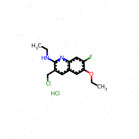 CCNc1nc2cc(F)c(OCC)cc2cc1CCl.Cl